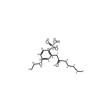 CCCCCC(=O)Cc1cc(OCC)ccc1S(=O)(=O)O